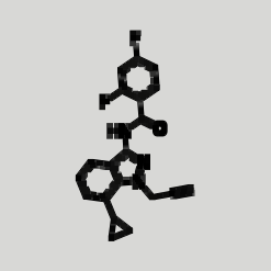 C#CCn1nc(NC(=O)c2ccc(F)cc2F)c2cccc(C3CC3)c21